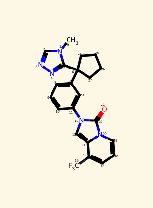 Cn1cnnc1C1(c2cccc(-n3cc4c(C(F)(F)F)cccn4c3=O)c2)CCCC1